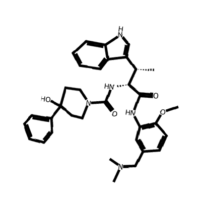 COc1ccc(CN(C)C)cc1NC(=O)[C@H](NC(=O)N1CCC(O)(c2ccccc2)CC1)[C@@H](C)c1c[nH]c2ccccc12